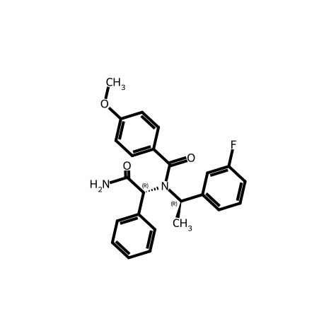 COc1ccc(C(=O)N([C@H](C)c2cccc(F)c2)[C@@H](C(N)=O)c2ccccc2)cc1